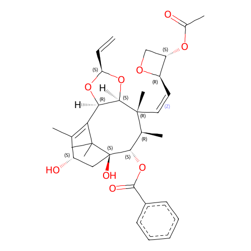 C=C[C@@H]1O[C@@H]2C3=C(C)[C@@H](O)C[C@@](O)([C@@H](OC(=O)c4ccccc4)[C@H](C)[C@@](C)(/C=C\[C@H]4OC[C@@H]4OC(C)=O)[C@@H]2O1)C3(C)C